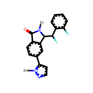 CCN1C(=O)c2ccc(-c3ccnn3CC)cc2C1C(F)c1ccccc1F